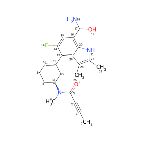 CC#CC(=O)N(C)[C@H]1CCC=C(c2c(F)cc(C(N)O)c3[nH]c(C)c(C)c23)C1